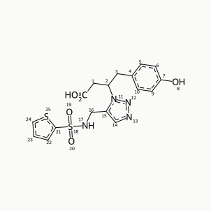 O=C(O)CC(Cc1ccc(O)cc1)n1nncc1CNS(=O)(=O)c1cccs1